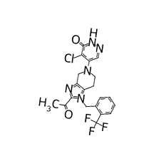 CC(=O)c1nc2c(n1Cc1ccccc1C(F)(F)F)CCN(c1cn[nH]c(=O)c1Cl)C2